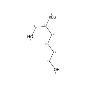 CCCCC(CO)CCCCO